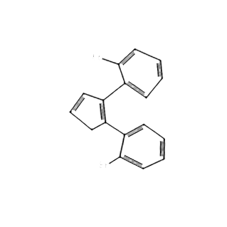 CCc1ccccc1C1=C(c2ccccc2CC)CC=C1